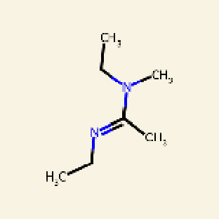 CC/N=C(\C)N(C)CC